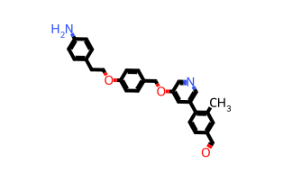 Cc1cc(C=O)ccc1-c1cncc(OCc2ccc(OCCc3ccc(N)cc3)cc2)c1